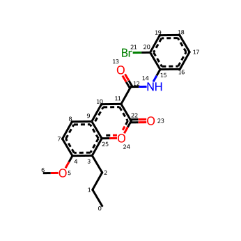 CCCc1c(OC)ccc2cc(C(=O)Nc3ccccc3Br)c(=O)oc12